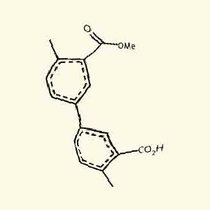 COC(=O)c1cc(-c2ccc(C)c(C(=O)O)c2)ccc1C